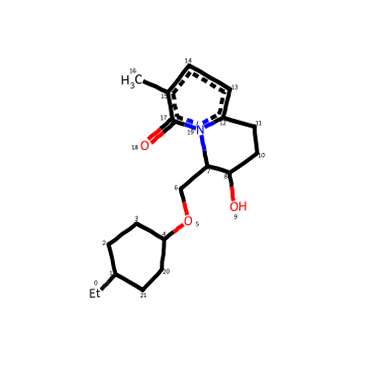 CCC1CCC(OCC2C(O)CCc3ccc(C)c(=O)n32)CC1